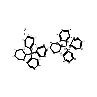 [Br-].[Cl-].c1ccc([P+](c2ccccc2)(c2ccccc2)C2CCCCC2)cc1.c1ccc([P+](c2ccccc2)(c2ccccc2)C2CCCCC2)cc1